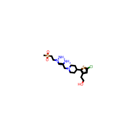 CS(=O)(=O)CCN(N)/C=C(\N)CN1CCC(c2sc(Cl)cc2CCO)CC1